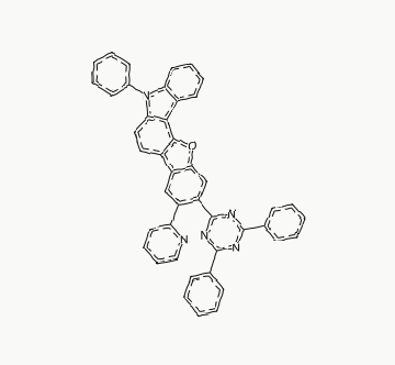 c1ccc(-c2nc(-c3ccccc3)nc(-c3cc4oc5c(ccc6c5c5ccccc5n6-c5ccccc5)c4cc3-c3ccccn3)n2)cc1